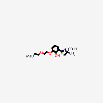 COCCOCCOc1cccc(C2=N[C@@](C)(C(=O)O)CS2)c1O